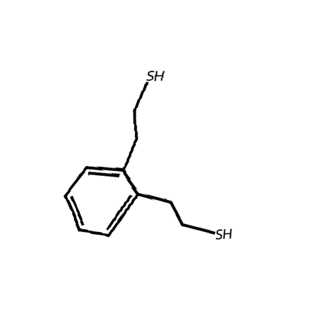 SCCc1ccccc1CCS